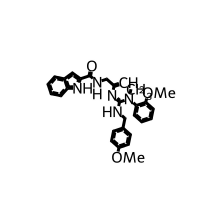 C=C(CNC(=O)c1cc2ccccc2[nH]1)/N=C(/NCc1ccc(OC)cc1)N(C)c1ccccc1OC